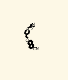 N#Cc1ccc2cc(OCCC3CCN(Cc4cncs4)CC3)ccc2c1